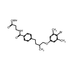 COC(=O)CCNC(=O)c1ccc(CCC(C)COc2cc(C)c(Br)c(C)c2)cc1